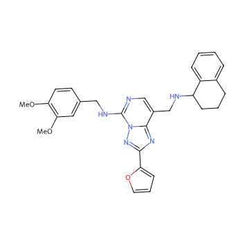 COc1ccc(CNc2ncc(CNC3CCCc4ccccc43)c3nc(-c4ccco4)nn23)cc1OC